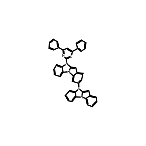 c1ccc(-c2cc(-c3ccccc3)nc(-n3c4ccccc4n4c5cc(-n6c7ccccc7n7c8ccccc8cc67)ccc5cc34)n2)cc1